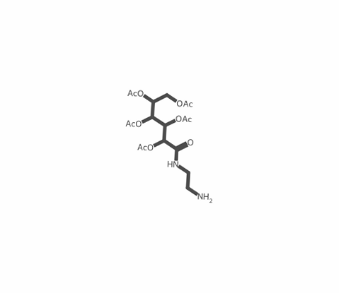 CC(=O)OCC(OC(C)=O)C(OC(C)=O)C(OC(C)=O)C(OC(C)=O)C(=O)NCCN